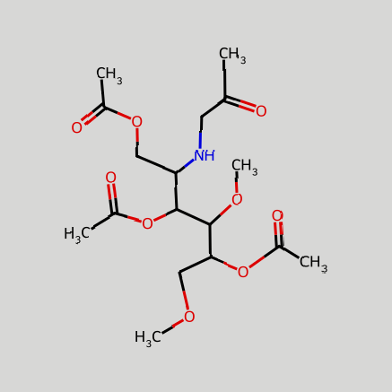 COCC(OC(C)=O)C(OC)C(OC(C)=O)C(COC(C)=O)NCC(C)=O